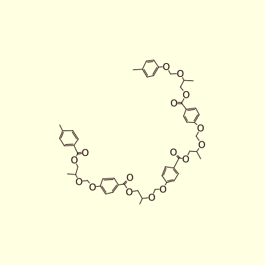 Cc1ccc(OCOC(C)COC(=O)c2ccc(OCOC(C)COC(=O)c3ccc(OCOC(C)COC(=O)c4ccc(OCOC(C)COC(=O)c5ccc(C)cc5)cc4)cc3)cc2)cc1